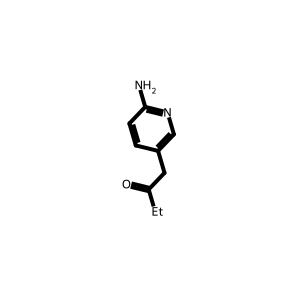 CCC(=O)Cc1ccc(N)nc1